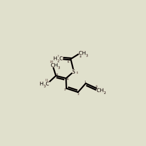 C=C/C=C\C(SC(=C)C)=C(C)C